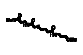 CNC(=O)CCNC(=O)CSCCCC(=O)NCCCOC